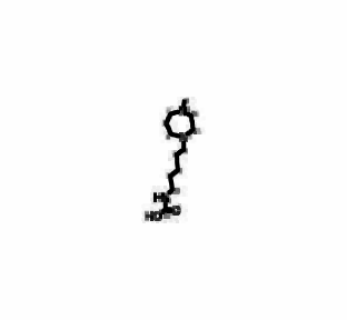 CN1CCCN(CCCCCNC(=O)O)CC1